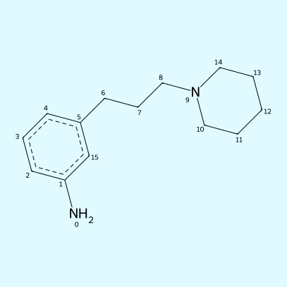 Nc1cccc(CCCN2CCCCC2)c1